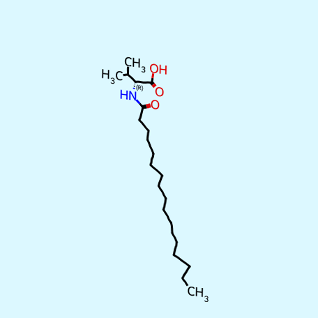 CCCCCCCCCCCCCCCCC(=O)N[C@@H](C(=O)O)C(C)C